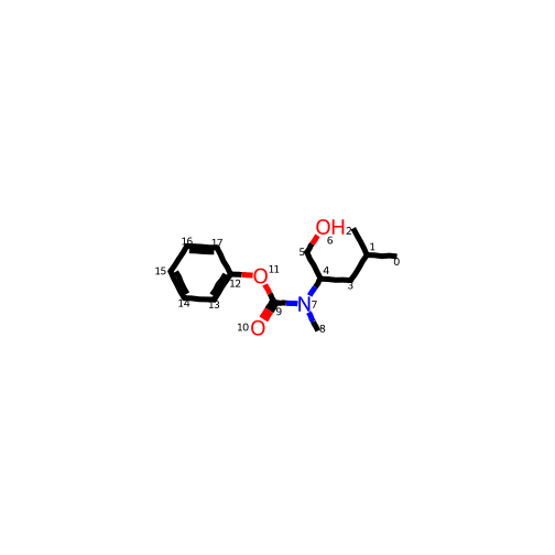 CC(C)CC(CO)N(C)C(=O)Oc1ccccc1